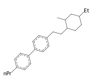 CCCc1ccc(-c2ccc(CCC3CCC(CC)CC3C)cc2)cc1